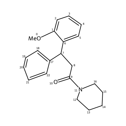 COc1ccccc1C(CC(=O)N1CCCCC1)c1ccccc1